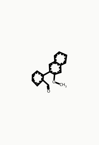 COc1cc2ccccc2cc1-c1ccccc1C=O